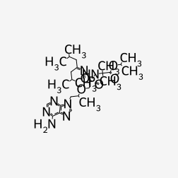 CC(C)CC(CC(C)C)=NOP(=O)(COC(C)Cn1cnc2c(N)ncnc21)NC(C)(C)C(=O)OC(C)C